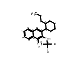 CCCC1CCCCC1c1cc2ccccc2c(F)c1OC(F)(F)F